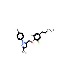 O=C(O)CCc1cc(F)c(OCC2CC(C(F)(F)F)=NN2c2ccc(Cl)cc2)c(F)c1